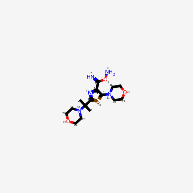 CC(C)(c1nc(C(=N)ON)c(N2CCOCC2)s1)N1CCOCC1